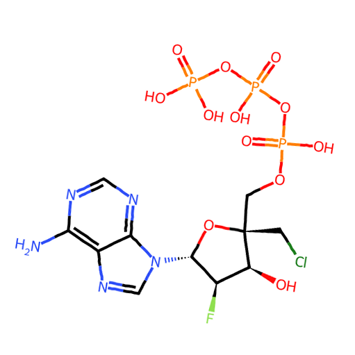 Nc1ncnc2c1ncn2[C@@H]1O[C@](CCl)(COP(=O)(O)OP(=O)(O)OP(=O)(O)O)[C@@H](O)[C@H]1F